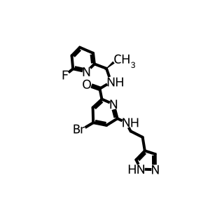 C[C@@H](NC(=O)c1cc(Br)cc(NCCc2cn[nH]c2)n1)c1cccc(F)n1